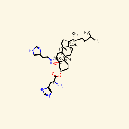 CC(C)CCC[C@@H](C)[C@H]1CC[C@H]2[C@@H]3C[C@@H](NCCc4c[nH]cn4)[C@@]4(O)C[C@@H](OC(=O)[C@@H](N)Cc5cnc[nH]5)CC[C@]4(C)[C@H]3CC[C@]12C